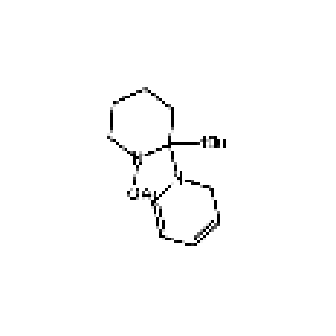 CC(=O)ON1CCCCC1(N1C=CC=CC1)C(C)(C)C